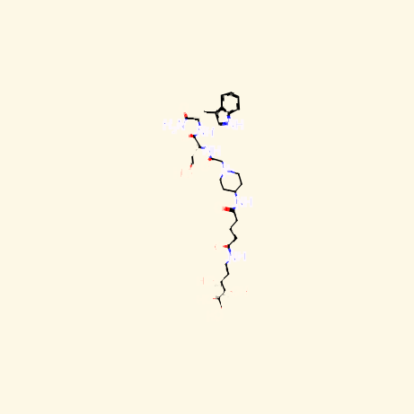 NC(=O)[C@H](Cc1c[nH]c2ccccc12)NC(=O)[C@H](CCO)NC(=O)CN1CCC(NC(=O)CCCC(=O)NCC[C@@H](O)[C@H](O)[C@H](O)CO)CC1